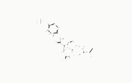 C=C(C)C(=O)OC1C2CC3C1OC(=O)C3C2C(=O)Oc1ccc(O)cn1